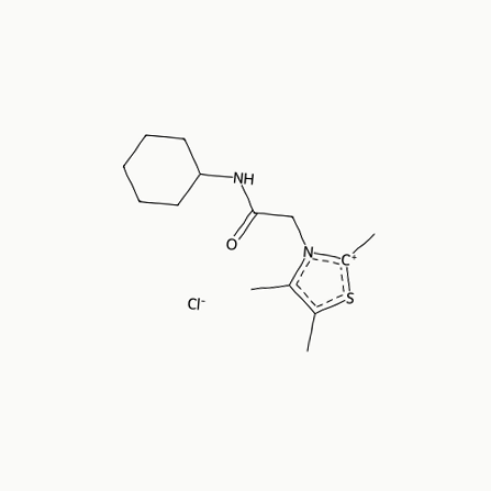 Cc1s[c+](C)n(CC(=O)NC2CCCCC2)c1C.[Cl-]